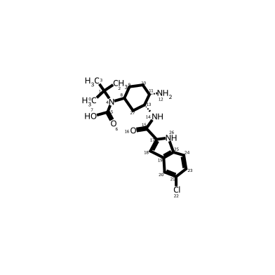 CC(C)(C)N(C(=O)O)C1CC[C@H](N)[C@H](NC(=O)c2cc3cc(Cl)ccc3[nH]2)C1